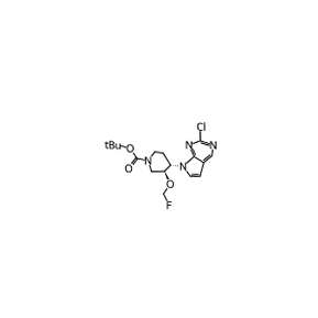 CC(C)(C)OC(=O)N1CC[C@H](n2ccc3cnc(Cl)nc32)[C@@H](OCF)C1